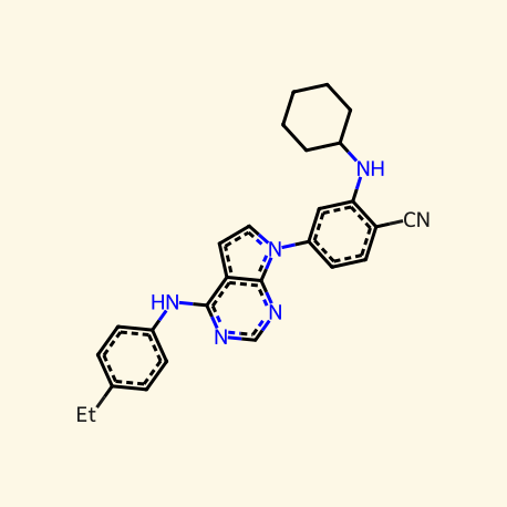 CCc1ccc(Nc2ncnc3c2ccn3-c2ccc(C#N)c(NC3CCCCC3)c2)cc1